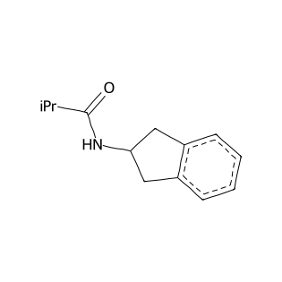 CC(C)C(=O)NC1Cc2ccccc2C1